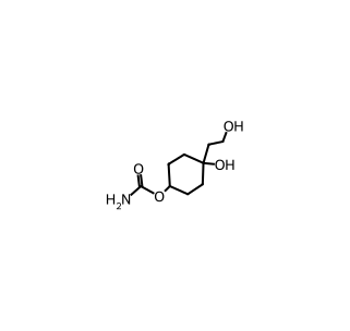 NC(=O)OC1CCC(O)(CCO)CC1